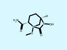 CO[N+]12C[C@@H](CC[C@H]1C(N)=O)N(O)C2=O